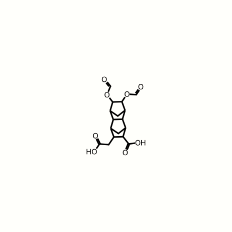 O=COC1C2CC(C1OC=O)C1C3CC(C(CC(=O)O)C3C(=O)O)C21